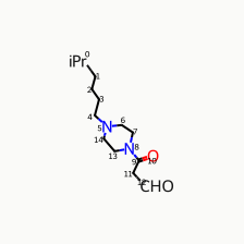 CC(C)CCCCN1CCN(C(=O)CC=O)CC1